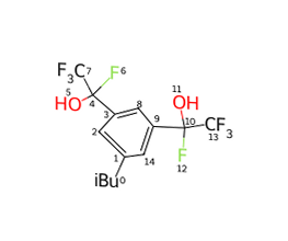 CCC(C)c1cc(C(O)(F)C(F)(F)F)cc(C(O)(F)C(F)(F)F)c1